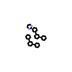 c1ccc(-c2cccc(-c3ccccc3)c2)cc1.c1ccc(-c2cccc(-c3ccccc3)c2)cc1.c1cncnc1